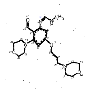 CN/C=N\c1cc(OCCCN2CCOCC2)cc(N2CCOCC2)c1C=O